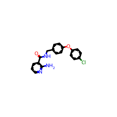 Nc1ncccc1C(=O)NCc1ccc(Oc2ccc(Cl)cc2)cc1